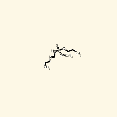 CCCN=CNP(=S)(OCCC)SC